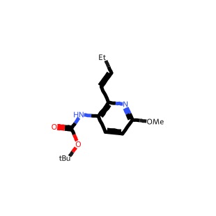 CCC=Cc1nc(OC)ccc1NC(=O)OC(C)(C)C